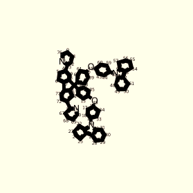 c1ccc(-c2ccc3c(c2)C(c2ccc(Oc4ccc(-n5c6ccccc6c6ccccc65)cc4)cc2)(c2ccc(Oc4ccc(-n5c6ccccc6c6ccccc65)cc4)cc2)c2cc(-c4ccccn4)ccc2-3)nc1